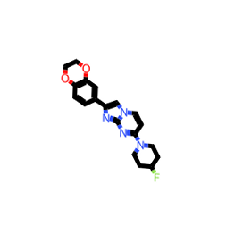 FC1CCN(c2ccn3cc(-c4ccc5c(c4)OCCO5)nc3n2)CC1